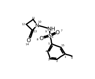 Cc1cccc(S(=O)(=O)NN2CCC2=O)c1